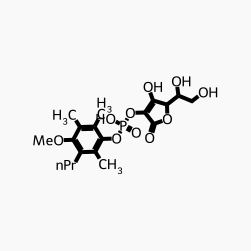 CCCc1c(C)c(OP(=O)(O)OC2=C(O)C(C(O)CO)OC2=O)c(C)c(C)c1OC